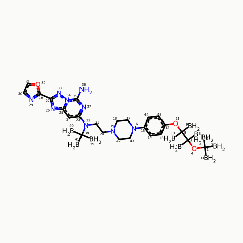 BC(B)(B)OC(B)(B)C(B)(B)Oc1ccc(N2CCN(CCN(c3cc4nc(-c5ncco5)nn4c(N)n3)C(B)(B)B)CC2)cc1